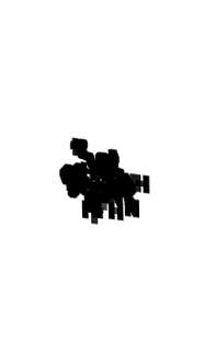 CCOc1cc2c(cc1NC(=O)CCCN(C)C)C(Nc1ccc(OCC3C(C)CCCN3CC)c(OC(F)(F)F)c1)C(C#N)CN2